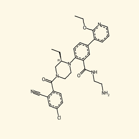 CCOc1ncccc1-c1ccc(N2CCN(C(=O)c3ccc(Cl)cc3C#N)C[C@H]2CC)c(C(=O)NCCN)c1